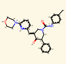 Cc1ccc(NC(=O)N2CC(=Cc3cccc(N4CCOCC4)n3)C(=O)C(c3ccccc3)C2)cc1